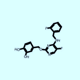 Oc1ccc(COc2ncc(F)c(NCc3ccccc3F)n2)cc1O